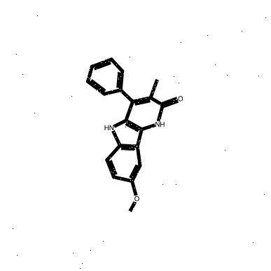 COc1ccc2[nH]c3c(-c4ccccc4)c(C)c(=O)[nH]c3c2c1